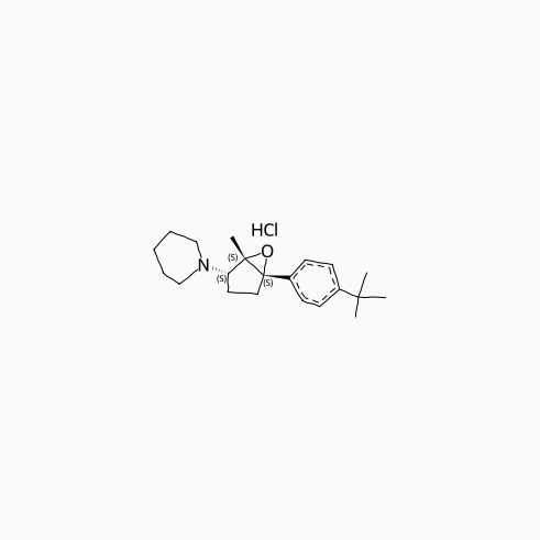 CC(C)(C)c1ccc([C@@]23CC[C@H](N4CCCCC4)[C@]2(C)O3)cc1.Cl